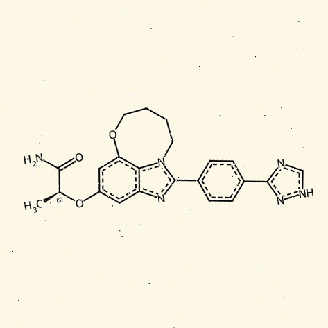 C[C@H](Oc1cc2c3c(c1)nc(-c1ccc(-c4nc[nH]n4)cc1)n3CCCCO2)C(N)=O